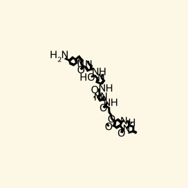 C=C1C[C@H]2C=Nc3cc(OCCCC(=O)Nc4cn(C)c(C(=O)Nc5cc(C(O)Nc6cc(C(=O)n7ccc8cc(CN)ccc87)n(C)c6)n(C)c5)n4)c(OC)cc3C(=O)N2C1